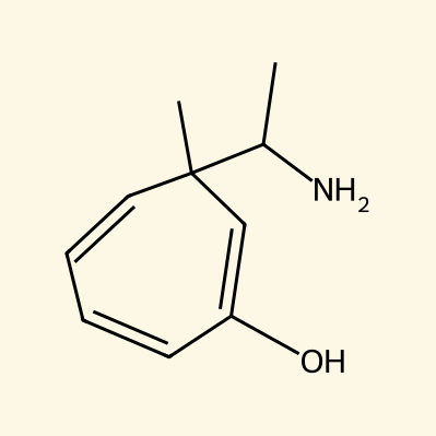 CC(N)C1(C)C=CC=CC(O)=C1